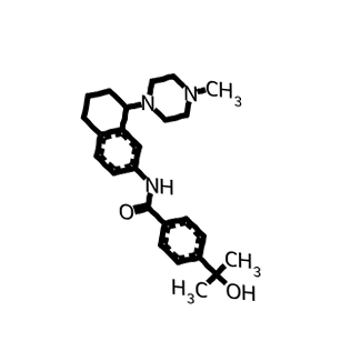 CN1CCN(C2CCCc3ccc(NC(=O)c4ccc(C(C)(C)O)cc4)cc32)CC1